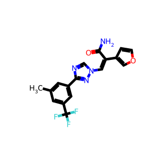 Cc1cc(-c2ncn(/C=C(\C(N)=O)c3ccoc3)n2)cc(C(F)(F)F)c1